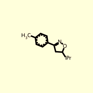 Cc1ccc(C2=NOC(C(C)C)C2)cc1